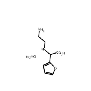 Cl.Cl.NCCNC(C(=O)O)c1ccco1